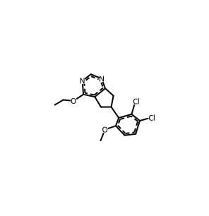 CCOc1ncnc2c1CC(c1c(OC)ccc(Cl)c1Cl)C2